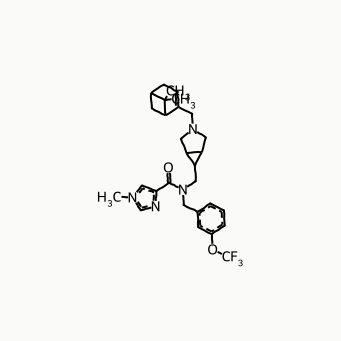 Cn1cnc(C(=O)N(Cc2cccc(OC(F)(F)F)c2)CC2C3CN(CC4=CCC5CC4C5(C)C)CC32)c1